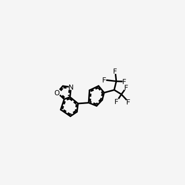 FC(F)(F)C(c1ccc(-c2cccc3ocnc23)cc1)C(F)(F)F